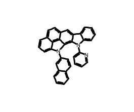 c1ccc(-n2c3ccccc3c3cc4ccc5cccc6c5c4c(c32)n6-c2ccc3ccccc3c2)nc1